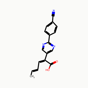 CC=CC=C(C(=O)O)c1cnc(-c2ccc(C#N)cc2)nc1